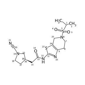 CC(C)S(=O)(=O)N1CCc2nc(NC(=O)C[C@H]3CCN(C#N)C3)sc2C1